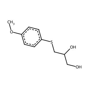 COc1ccc(SCC(O)CO)cc1